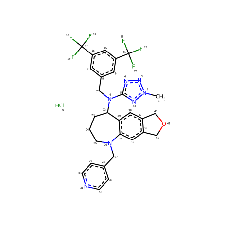 Cl.Cn1nnc(N(Cc2cc(C(F)(F)F)cc(C(F)(F)F)c2)C2CCCN(Cc3ccncc3)c3cc4c(cc32)COC4)n1